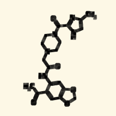 CC(=O)c1cc2c(cc1NC(=O)CN1CCN(C(=O)c3nc(C)c[nH]3)CC1)OCO2